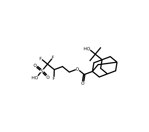 CC(C)(O)C12CC3CC(CC(C(=O)OCCC(F)C(F)(F)S(=O)(=O)O)(C3)C1)C2